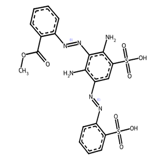 COC(=O)c1ccccc1/N=N/c1c(N)c(/N=N/c2ccccc2S(=O)(=O)O)cc(S(=O)(=O)O)c1N